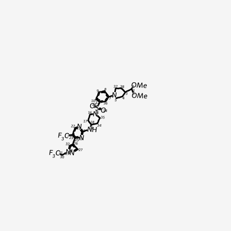 COC(OC)C1CCN(c2cccc(S(=O)(=O)N3CCC(Nc4ncc(C(F)(F)F)c(-c5cnn(CC(F)(F)F)c5)n4)CC3)c2)CC1